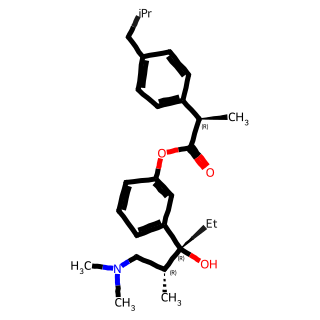 CC[C@](O)(c1cccc(OC(=O)[C@H](C)c2ccc(CC(C)C)cc2)c1)[C@H](C)CN(C)C